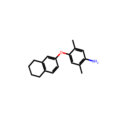 Cc1cc(Oc2ccc3c(c2)CCCC3)c(C)cc1N